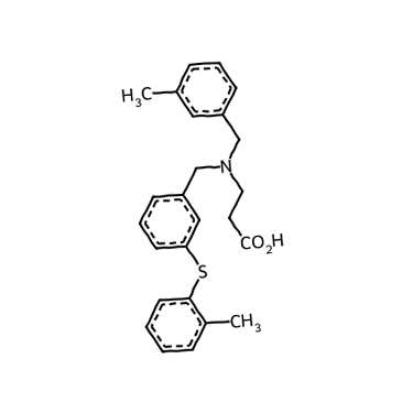 Cc1cccc(CN(CCC(=O)O)Cc2cccc(Sc3ccccc3C)c2)c1